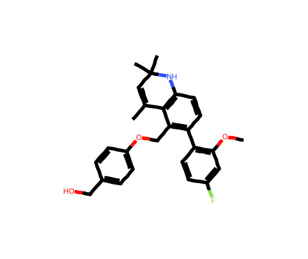 COc1cc(F)ccc1-c1ccc2c(c1COc1ccc(CO)cc1)C(C)=CC(C)(C)N2